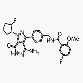 COc1ccc(F)cc1C(=O)NCc1ccc(-c2nn([C@H]3CCCC3F)c3c(=O)[nH]nc(N)c23)cc1